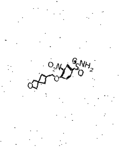 NS(=O)(=O)c1ccc(OCC2CC3(COC3)C2)c([N+](=O)[O-])c1